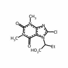 CCC(C(=O)O)n1c(Cl)nc2c1c(=O)n(C)c(=O)n2C